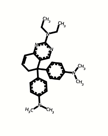 CCN(CC)c1ncc2c(n1)C=CCC2(c1ccc(N(C)C)cc1)c1ccc(N(C)C)cc1